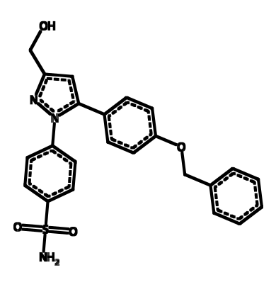 NS(=O)(=O)c1ccc(-n2nc(CO)cc2-c2ccc(OCc3ccccc3)cc2)cc1